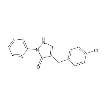 O=c1c(Cc2ccc(Cl)cc2)c[nH]n1-c1ccccn1